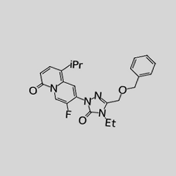 CCn1c(COCc2ccccc2)nn(-c2cc3c(C(C)C)ccc(=O)n3cc2F)c1=O